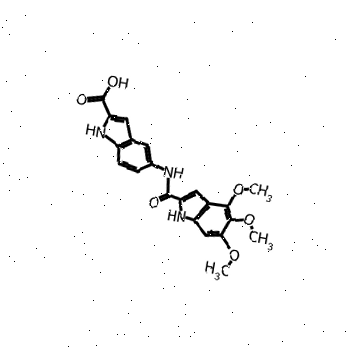 COc1cc2[nH]c(C(=O)Nc3ccc4[nH]c(C(=O)O)cc4c3)cc2c(OC)c1OC